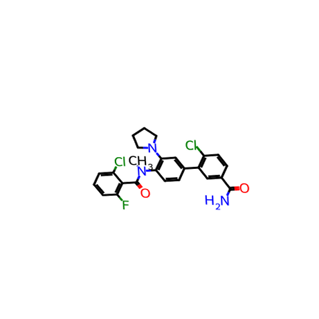 CN(C(=O)c1c(F)cccc1Cl)c1ccc(-c2cc(C(N)=O)ccc2Cl)cc1N1CCCC1